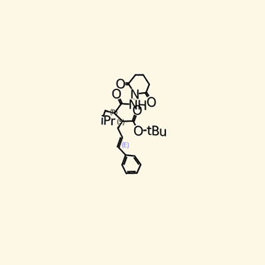 CC(C)C[C@@H](C(=O)NN1C(=O)CCCC1=O)[C@H](C/C=C/c1ccccc1)C(=O)OC(C)(C)C